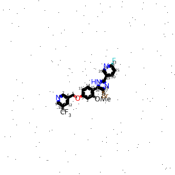 COc1cc(OCc2cncc(C(F)(F)F)c2)ccc1-c1[nH]c(-c2ccc(F)nc2)nc1Br